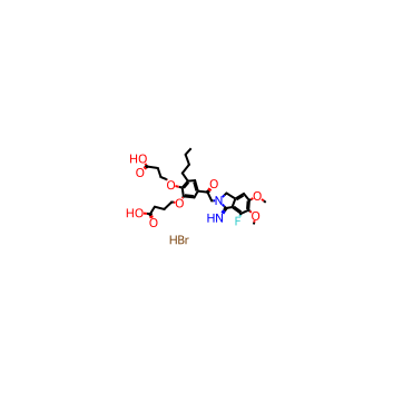 Br.CCCCc1cc(C(=O)CN2Cc3cc(OC)c(OC)c(F)c3C2=N)cc(OCCCC(=O)O)c1OCCCC(=O)O